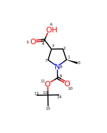 C[C@@H]1CC(C(=O)O)CN1C(=O)OC(C)(C)C